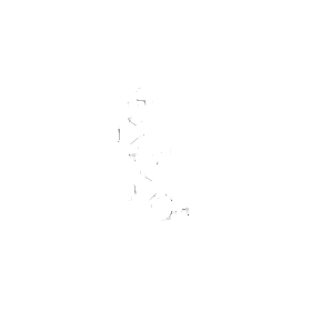 CC1(C)Cc2cc(OC(=O)O)ccc2NC1c1cccc(N2CCNC2=O)c1